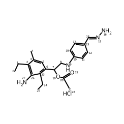 CCc1c(C)cc(C(CNc2ccc(C=NN)cc2)OC(C)=O)c(CC)c1N.Cl